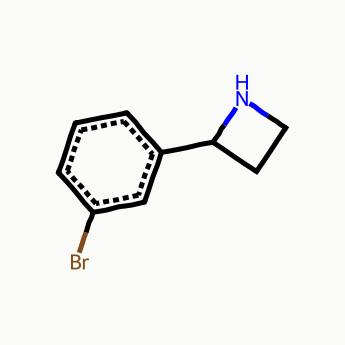 Brc1cccc(C2CCN2)c1